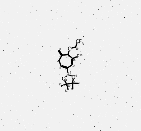 C=C1CC=C(B2OC(C)(C)C(C)(C)O2)C=C(F)C1OCC(F)(F)F